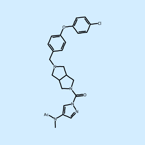 CC(=O)N(C)c1cnn(C(=O)N2CC3CN(Cc4ccc(Oc5ccc(Cl)cc5)cc4)CC3C2)c1